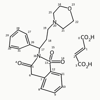 O=C(O)/C=C/C(=O)O.O=C1Cc2ccccc2S(=O)(=O)N1C(CCN1CCOCC1)c1ccccc1